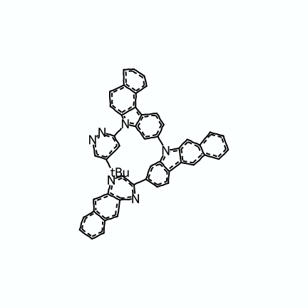 CC(C)(C)c1cnnc(-n2c3cc(-n4c5cc(-c6cnc7cc8ccccc8cc7n6)ccc5c5cc6ccccc6cc54)ccc3c3c4ccccc4ccc32)c1